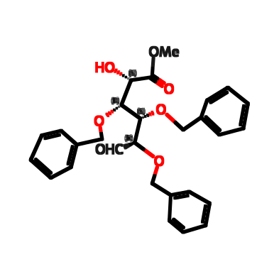 COC(=O)[C@@H](O)[C@@H](OCc1ccccc1)[C@H](OCc1ccccc1)[C@H](C=O)OCc1ccccc1